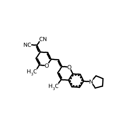 CC1=CC(=C(C#N)C#N)C=C(/C=C2\C=C(C)c3ccc(N4CCCC4)cc3O2)O1